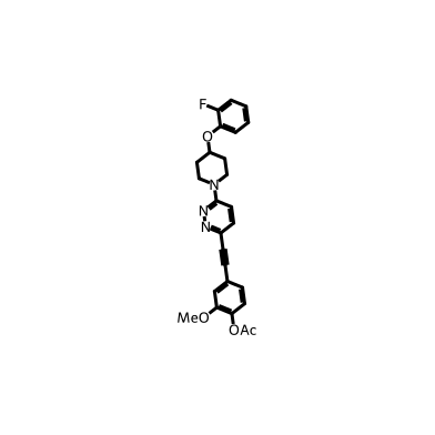 COc1cc(C#Cc2ccc(N3CCC(Oc4ccccc4F)CC3)nn2)ccc1OC(C)=O